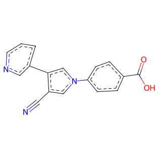 N#Cc1cn(-c2ccc(C(=O)O)cc2)cc1-c1cccnc1